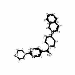 O=C(c1cnc(N2CCOCC2)nc1)N1CCC(N2C=Cc3ccccc3C2)CC1